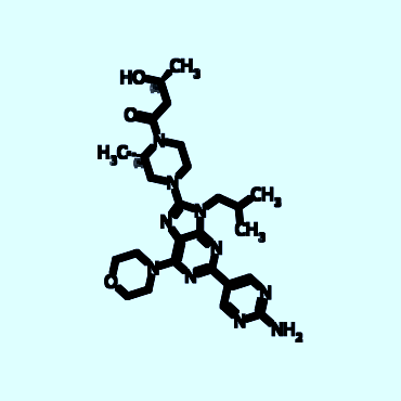 CC(C)Cn1c(N2CCN(C(=O)C[C@H](C)O)[C@@H](C)C2)nc2c(N3CCOCC3)nc(-c3cnc(N)nc3)nc21